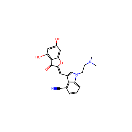 CN(C)CCn1cc(C=C2Oc3cc(O)cc(O)c3C2=O)c2c(C#N)cccc21